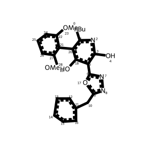 CCCCc1nc(O)c(-c2nnc(Cc3ccccc3)o2)c(O)c1-c1c(OC)cccc1OC